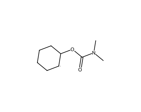 CN(C)C(=O)OC1[CH]CCCC1